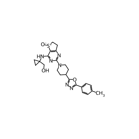 Cc1ccc(-c2nnc(C3CCN(c4nc5c(c(NC6(CO)CC6)n4)[S+]([O-])CC5)CC3)o2)cc1